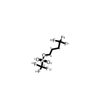 O=S(=O)(OCCCC(F)(F)F)C(F)(F)F